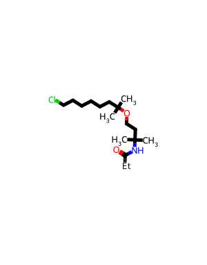 CCC(=O)NC(C)(C)CCOC(C)(C)CCCCCCCl